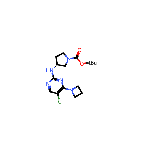 CC(C)(C)OC(=O)N1CC[C@@H](Nc2ncc(Cl)c(N3CCC3)n2)C1